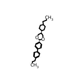 CCCc1ccc(-c2ccc([C@H]3OC[C@H](C4CCC(CCC)CC4)CO3)cc2)cc1